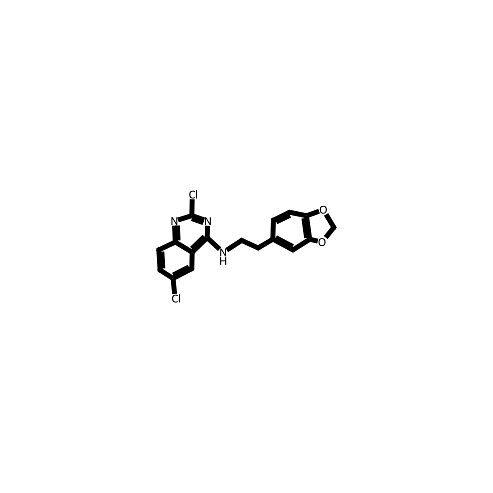 Clc1ccc2nc(Cl)nc(NCCc3ccc4c(c3)OCO4)c2c1